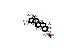 COC(=O)[C@]12CCC(C)(C)C[C@H]1C1=CCC3[C@@]4(C)CC[C@H](O[Si](C)(C)C(C)(C)C)C(C)(C)C4CC[C@@]3(C)[C@@]1(C)CC2